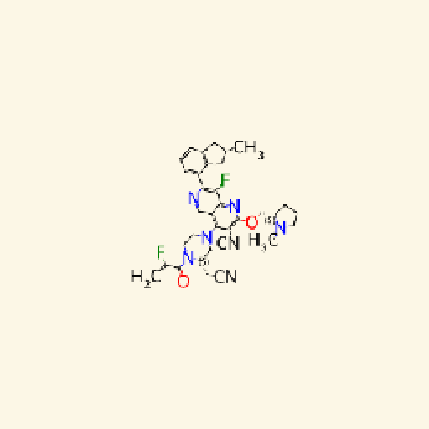 C=C(F)C(=O)N1CCN(c2c(C#N)c(OC[C@@H]3CCCN3C)nc3c(F)c(-c4cccc5c4CC(C)C5)ncc23)C[C@@H]1CC#N